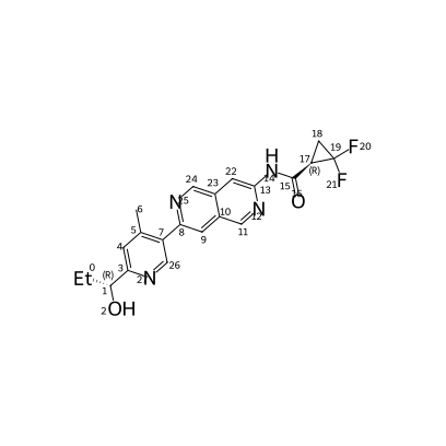 CC[C@@H](O)c1cc(C)c(-c2cc3cnc(NC(=O)[C@H]4CC4(F)F)cc3cn2)cn1